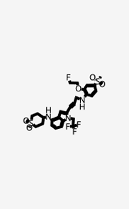 CS(=O)(=O)c1ccc(NCC#Cc2cc3c(NC4CCS(=O)(=O)CC4)cccc3n2CC(F)(F)F)c(OCCF)c1